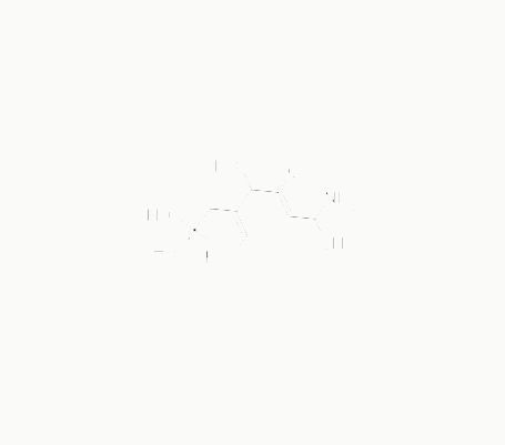 CC=C(CC(C)(C)C)C(C)/C(C)=C/C(C)N